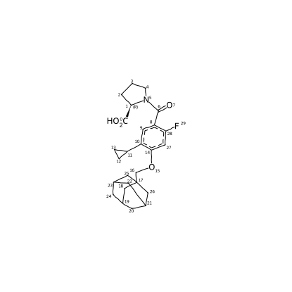 O=C(O)[C@H]1CCCN1C(=O)c1cc(C2CC2)c(OCC23CC4CC(CC(C4)C2)C3)cc1F